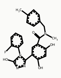 Cc1ccc(CN(C)C(=O)c2cc(-c3nnc(O)n3-c3ccccc3F)c(O)cc2O)cc1